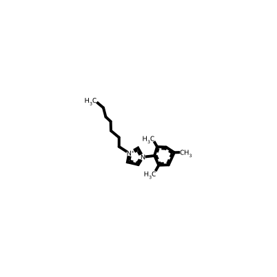 CCCCCCC[n+]1ccn(-c2c(C)cc(C)cc2C)c1